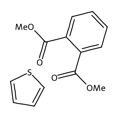 COC(=O)c1ccccc1C(=O)OC.c1ccsc1